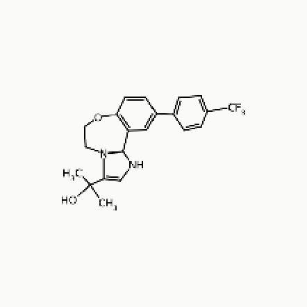 CC(C)(O)C1=CNC2c3cc(-c4ccc(C(F)(F)F)cc4)ccc3OCCN12